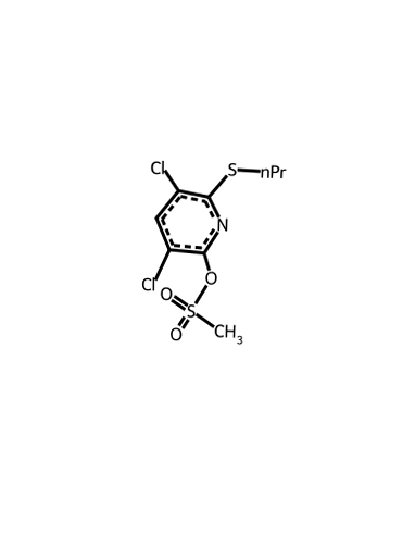 CCCSc1nc(OS(C)(=O)=O)c(Cl)cc1Cl